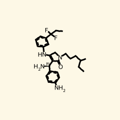 CCC(C)CCCN1CC(Nc2cccc(C(F)(F)CC)c2)=C([C@H](N)c2ccc(N)cc2)C1=O